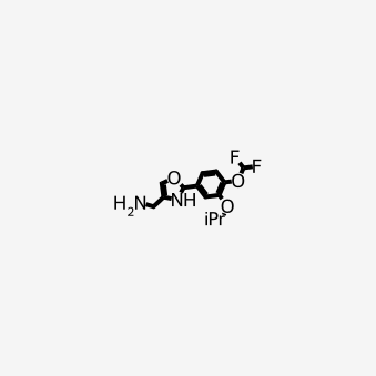 CC(C)Oc1cc(C2NC(CN)=CO2)ccc1OC(F)F